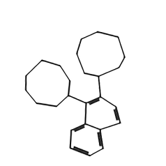 c1ccc2c(C3CCCCCCC3)c(C3CCCCCCC3)ccc2c1